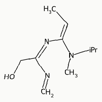 C=N/C(CO)=N\C(=C/C)N(C)C(C)C